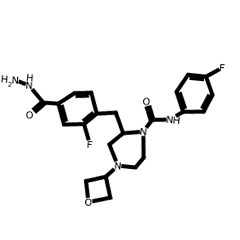 NNC(=O)c1ccc(CC2CN(C3COC3)CCN2C(=O)Nc2ccc(F)cc2)c(F)c1